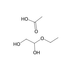 CC(=O)O.CCOC(O)CO